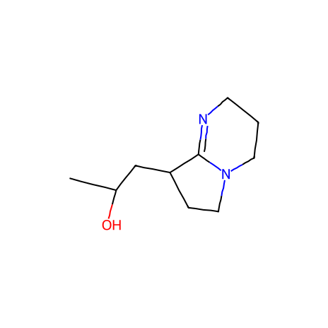 CC(O)CC1CCN2CCCN=C12